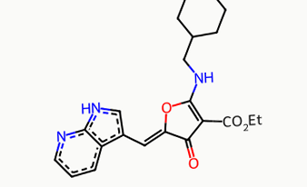 CCOC(=O)C1=C(NCC2CCCCC2)OC(=Cc2c[nH]c3ncccc23)C1=O